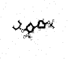 CCC(CC)Oc1ccc(-c2ccc(OC(F)(F)F)cc2)cc1[N+](=O)[O-]